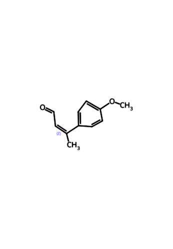 COc1ccc(/C(C)=C\C=O)cc1